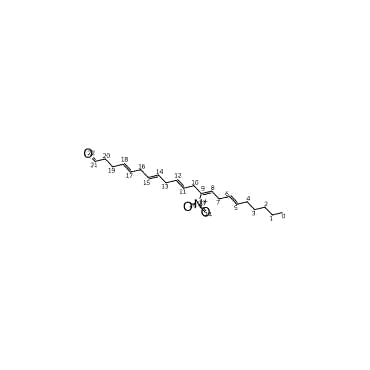 CCCCCC=CCC=C(CC=CCC=CCC=CCCC=O)[N+](=O)[O-]